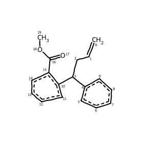 C=CCC(c1ccccc1)c1ccc[c]c1C(=O)OC